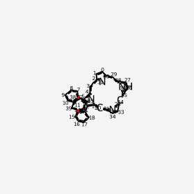 C1=Cc2cc3c(-c4ccccc4)c(-c4ccccc4)c(cc4nc(cc5ccc(cc1n2)[nH]5)C=C4)n3-c1ccccc1